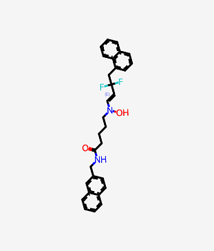 O=C(CCCCN(O)/C=C/C(F)(F)Cc1cccc2ccccc12)NCc1ccc2ccccc2c1